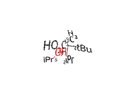 CC(=O)O.CC(C)CC(C)(C)C.CC(C)O